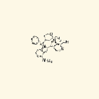 CC(=O)Nc1cccc2c1cc(-c1cn(C)c3c(O)nccc13)n2[C@H](c1ccccc1)C1CCOCC1